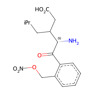 CC(C)CC(CC(=O)O)[C@H](N)C(=O)c1ccccc1CO[N+](=O)[O-]